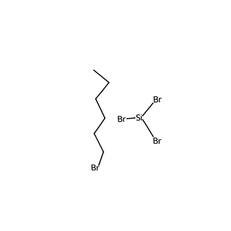 Br[Si](Br)Br.CCCCCCBr